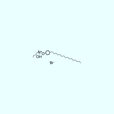 CCCCCCCCCCCCCCCCc1ccc(OC[N+](C)(C)CC(O)CC)cc1.[Br-]